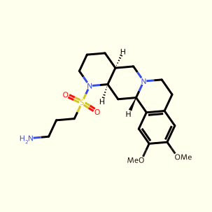 COc1cc2c(cc1OC)[C@@H]1C[C@@H]3[C@@H](CCCN3S(=O)(=O)CCCN)CN1CC2